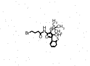 C[Si](C)(C)Oc1c(NC(=O)CCCBr)oc(C2=CC=CCC2=S)c1O